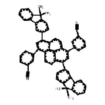 CC1(C)c2ccccc2-c2cc(-c3cc(-c4cccc(C#N)c4)c4ccc5c(-c6ccc7c(c6)-c6ccccc6C7(C)C)cc(-c6cccc(C#N)c6)c6ccc3c4c65)ccc21